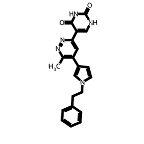 Cc1nnc(-c2c[nH]c(=O)[nH]c2=O)cc1-c1ccn(CCc2ccccc2)c1